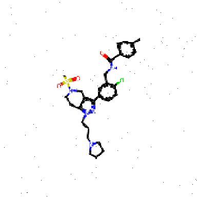 Cc1ccc(C(=O)NCc2cc(-c3nn(CCCN4CCCC4)c4c3CN(S(C)(=O)=O)CC4)ccc2Cl)cc1